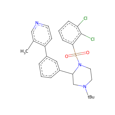 Cc1cnccc1-c1cccc(C2CN(C(C)(C)C)CCN2S(=O)(=O)c2cccc(Cl)c2Cl)c1